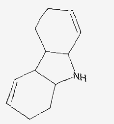 C1=CC2C(CC1)NC1C=CCCC12